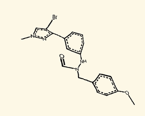 COc1ccc(CN(C=O)Nc2cccc(-c3nn(C)cc3Br)c2)cc1